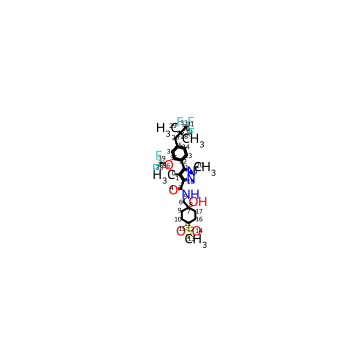 Cc1c(C(=O)NCC2(O)CCC(S(C)(=O)=O)CC2)nn(C)c1-c1ccc(CC(C)(C)C(F)(F)F)cc1OC(F)F